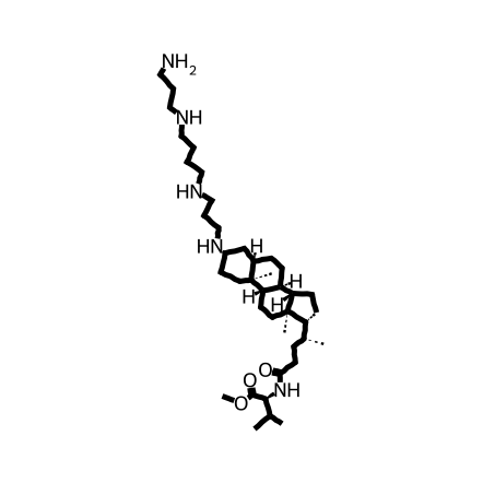 COC(=O)[C@@H](NC(=O)CC[C@@H](C)[C@H]1CC[C@H]2[C@@H]3CC[C@@H]4C[C@@H](NCCCNCCCCNCCCN)CC[C@]4(C)[C@H]3CC[C@]12C)C(C)C